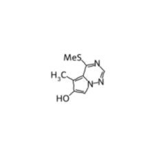 CSc1ncnn2cc(O)c(C)c12